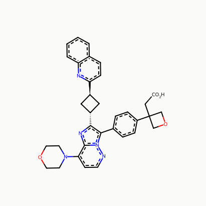 O=C(O)CC1(c2ccc(-c3c([C@H]4C[C@H](c5ccc6ccccc6n5)C4)nc4c(N5CCOCC5)ccnn34)cc2)COC1